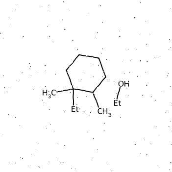 CCO.C[CH]C1(C)CCCCC1C